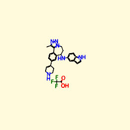 Cc1nnn2c1-c1ccc(C3=CCNCC3)cc1C(Nc1ccc3[nH]ccc3c1)CC2.O=C(O)C(F)(F)F